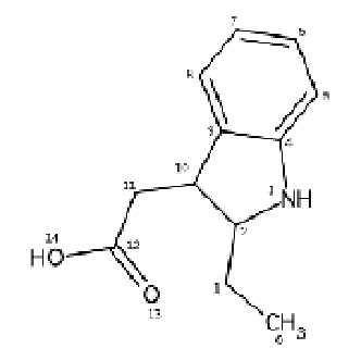 CCC1Nc2ccccc2C1CC(=O)O